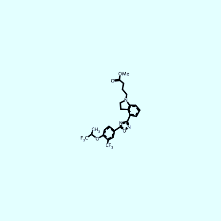 COC(=O)CCCN1CCc2c(-c3noc(-c4ccc(OC(C)C(F)(F)F)c(C(F)(F)F)c4)n3)cccc21